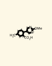 COc1ncc(-c2ccc(C)cc2C(=O)O)cn1